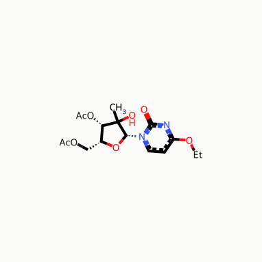 CCOc1ccn([C@@H]2O[C@H](COC(C)=O)[C@H](OC(C)=O)C2(C)O)c(=O)n1